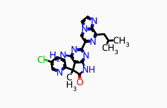 CC(C)Cc1nc(-c2nc(N)c3c(n2)NC(=O)C3(C)c2ccc(Cl)cn2)cn2ccnc12